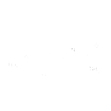 COC(=O)C1CCCN(C(N)=O)C1